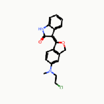 CN(CCCl)c1ccc2c(c1)CO/C2=C1/C(=O)Nc2ccccc21